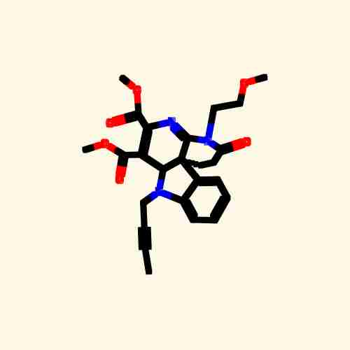 CC#CCN1c2ccccc2[C@]23CCC(=O)N(CCOC)C2=NC(C(=O)OC)=C(C(=O)OC)C13